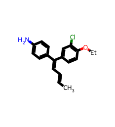 CC=CC=C(c1ccc(N)cc1)c1ccc(OCC)c(Cl)c1